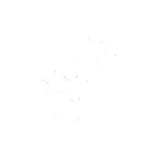 Clc1ccc2ncn(-c3ccc4c(c3)OCO4)c2n1